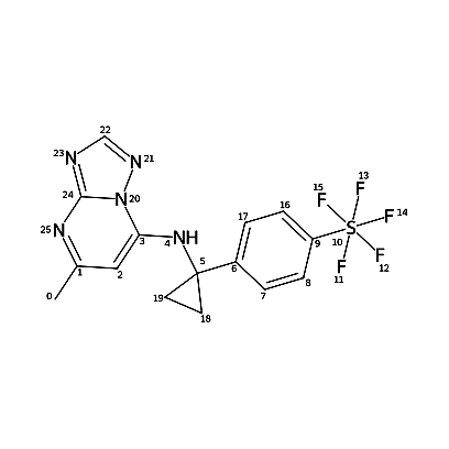 Cc1cc(NC2(c3ccc(S(F)(F)(F)(F)F)cc3)CC2)n2ncnc2n1